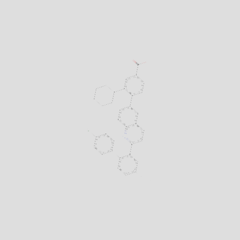 Cc1ccc(-c2ccc(Cl)cc2)c(-c2ccc3cc(-c4ccc(C(=O)O)cc4C4CCCCC4)ccc3n2)c1